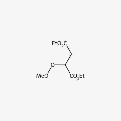 CCOC(=O)CC(OOC)C(=O)OCC